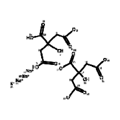 O=C([O-])CC(O)(CC(=O)O)C(=O)O.O=C([O-])CC(O)(CC(=O)[O-])C(=O)[O-].[K+].[Na+].[Na+].[Na+]